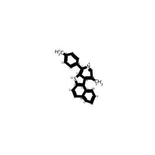 Cc1ccc(-c2ncc(C)c3c2sc2ccc4ccccc4c23)cc1